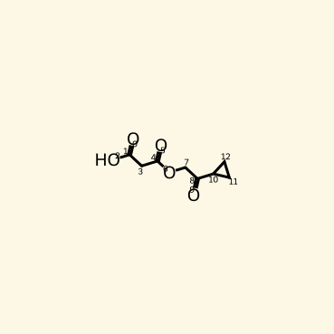 O=C(O)CC(=O)OCC(=O)C1CC1